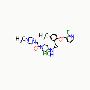 Cc1ccc(OCc2cccnc2F)c(C2CC2NC2CCN(C(=O)CN3CCN(C)CC3)CC2)c1.Cl